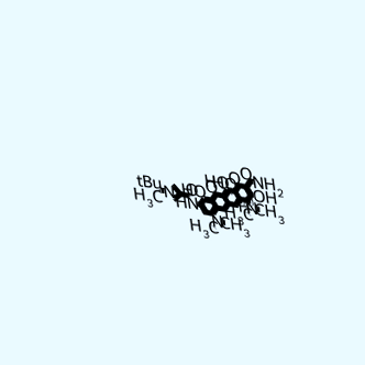 CC(N1CC(C(=O)Nc2cc(N(C)C)c3c(c2O)C(=O)C2=C(O)[C@]4(O)C(=O)C(C(N)=O)=C(O)[C@@H](N(C)C)[C@@H]4CC2C3)C1)C(C)(C)C